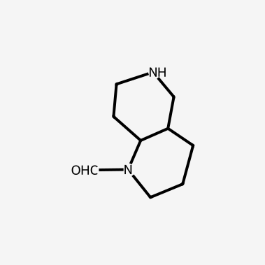 O=CN1CCCC2CNCCC21